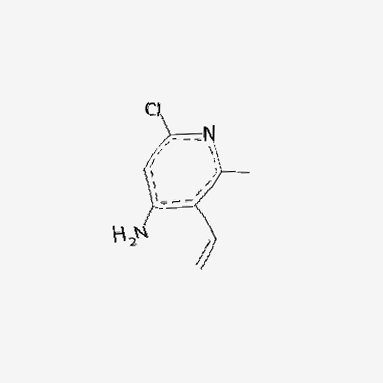 C=Cc1c(N)cc(Cl)nc1C